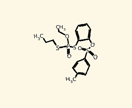 CCCSP(=O)(OCC)Sc1ccccc1OS(=O)(=O)c1ccc(C)cc1